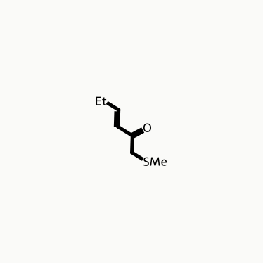 CCC=CC(=O)CSC